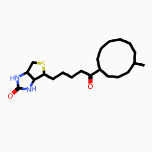 CC1CCCCCCC(C(=O)CCCCC2SCC3NC(=O)NC32)CCC1